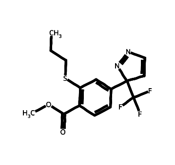 CCCSc1cc(C2(C(F)(F)F)C=CN=N2)ccc1C(=O)OC